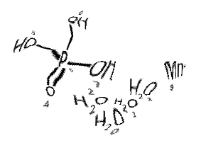 O.O.O.O.O=P(O)(O)O.[Mn]